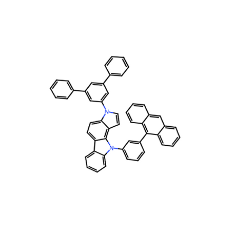 c1ccc(-c2cc(-c3ccccc3)cc(-n3ccc4c3ccc3c5ccccc5n(-c5cccc(-c6c7ccccc7cc7ccccc67)c5)c34)c2)cc1